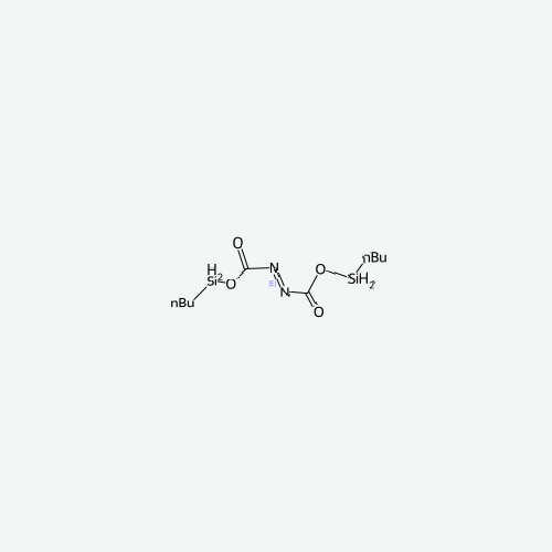 CCCC[SiH2]OC(=O)/N=N/C(=O)O[SiH2]CCCC